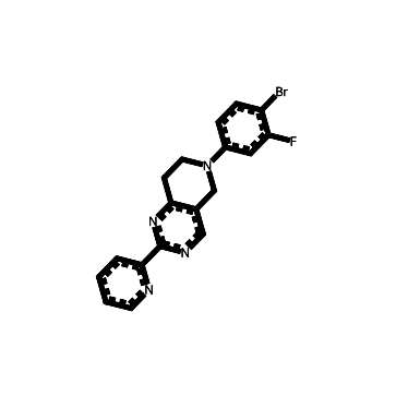 Fc1cc(N2CCc3nc(-c4ccccn4)ncc3C2)ccc1Br